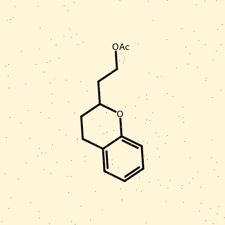 CC(=O)OCCC1CCc2ccccc2O1